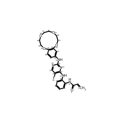 C=CC(=O)Nc1ccccc1Nc1nc(Nc2ccc3c(c2)OCCOCCOCCO3)ncc1F